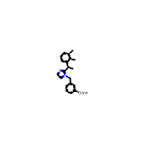 COc1cccc(Cn2ccnc2C(C)c2cccc(C)c2C)c1